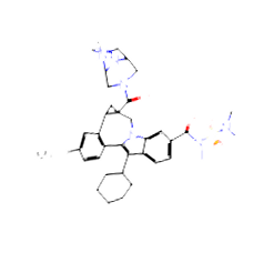 COc1ccc2c(c1)C1CC1(C(=O)N1CC3CN(C)C(C1)N3C(C)=O)Cn1c-2c(C2CCCCC2)c2ccc(C(=O)NS(=O)(=O)N(C)C)cc21